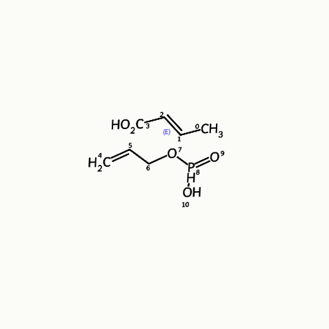 C/C=C/C(=O)O.C=CCO[PH](=O)O